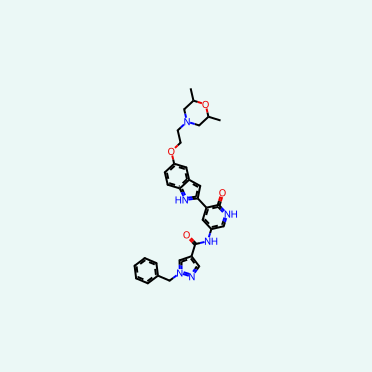 CC1CN(CCOc2ccc3[nH]c(-c4cc(NC(=O)c5cnn(Cc6ccccc6)c5)c[nH]c4=O)cc3c2)CC(C)O1